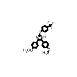 COc1ccc(-c2nc(Sc3ccc(C(F)(F)F)cc3)[nH]c2-c2ccc(OC)cc2)cc1